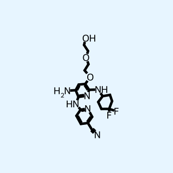 N#Cc1ccc(Nc2nc(NC3CCC(F)(F)CC3)c(OCCOCCO)cc2N)nc1